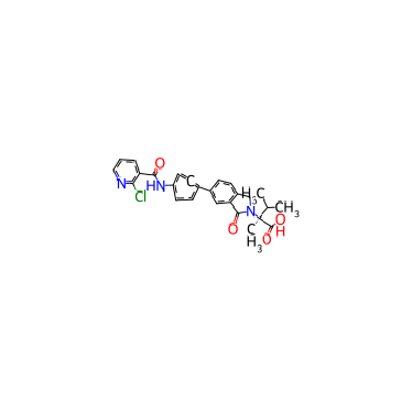 CC(C)[C@@](C)(C(=O)O)N1Cc2ccc(-c3ccc(NC(=O)c4cccnc4Cl)cc3)cc2C1=O